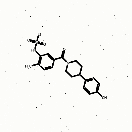 [CH2]CS(=O)(=O)Nc1cc(C(=O)N2CCC(c3ccc(C#N)cc3)CC2)ccc1C